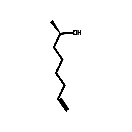 C=CCCCC[C@@H](C)O